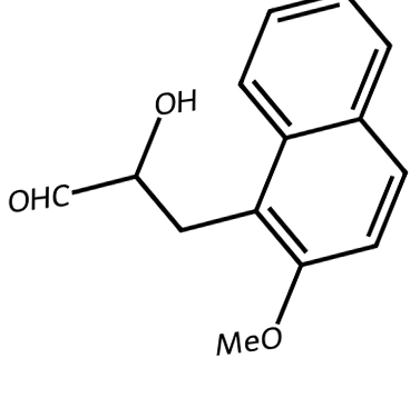 COc1ccc2ccccc2c1CC(O)C=O